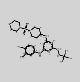 O=S(=O)(N1CCOCC1)N1CCC(Nc2nc(Nc3ccc(F)c(Cl)c3)nc(OCC(F)(F)F)n2)CC1